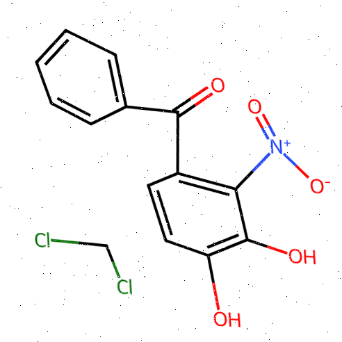 ClCCl.O=C(c1ccccc1)c1ccc(O)c(O)c1[N+](=O)[O-]